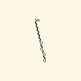 COCCOCCOCCOCCCCCCCCCCCS